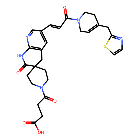 O=C(O)CCC(=O)N1CCC2(CC1)Cc1cc(C=CC(=O)N3CC=C(Cc4nccs4)CC3)cnc1NC2=O